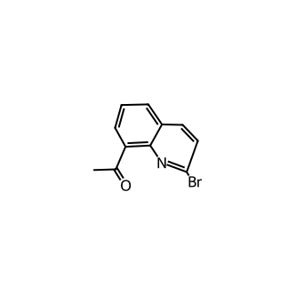 CC(=O)c1cccc2ccc(Br)nc12